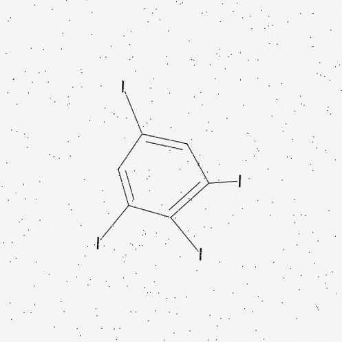 Ic1cc(I)c(I)c(I)c1